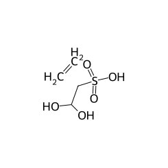 C=C.O=S(=O)(O)CC(O)O